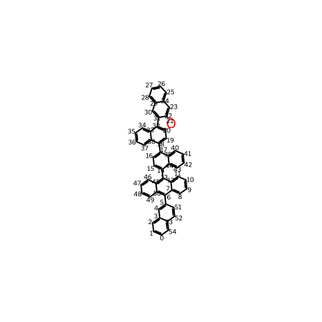 c1ccc2cc(-c3c4ccccc4c(-c4ccc(-c5cc6oc7cc8ccccc8cc7c6c6ccccc56)c5ccccc45)c4ccccc34)ccc2c1